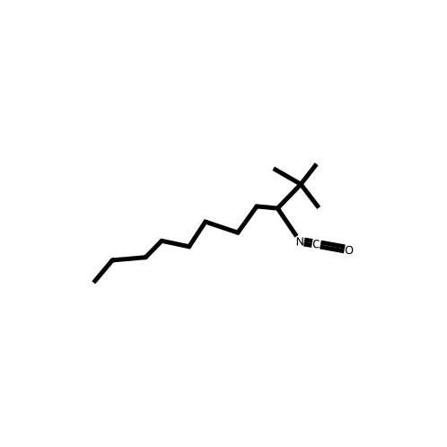 CCCCCCCCC(N=C=O)C(C)(C)C